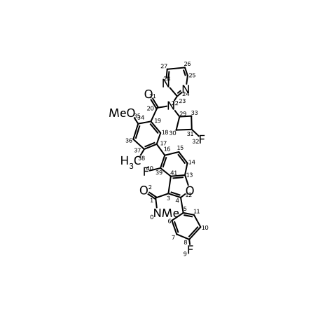 CNC(=O)c1c(-c2ccc(F)cc2)oc2ccc(-c3cc(C(=O)N(c4ncccn4)C4CC(F)C4)c(OC)cc3C)c(F)c12